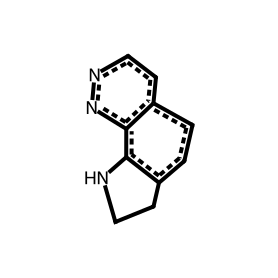 c1cc2ccc3c(c2nn1)NCC3